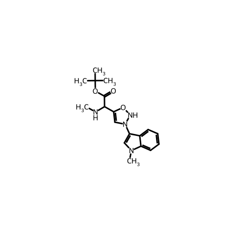 CNC(C(=O)OC(C)(C)C)C1=CN(c2cn(C)c3ccccc23)NO1